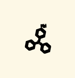 [Pb].c1ccc(P(c2ccccc2)c2ccccc2)cc1